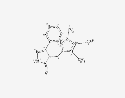 Cc1[nH]c(/C=C2/C(=O)NN=C2c2cnccn2)c(C)c1C(=O)O